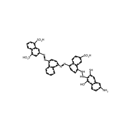 Nc1ccc2c(O)c(NNc3ccc(N=Nc4ccc(N=Nc5cc(S(=O)(=O)O)c6cccc(S(=O)(=O)O)c6c5)c5ccccc45)c4ccc(S(=O)(=O)O)cc34)c(S)cc2c1